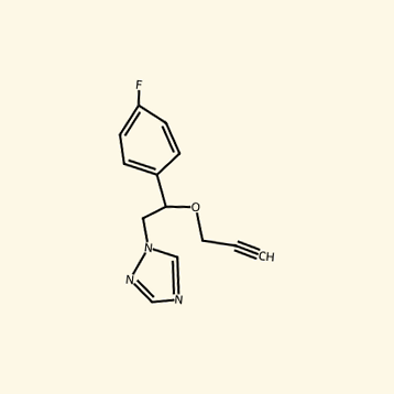 C#CCOC(Cn1cncn1)c1ccc(F)cc1